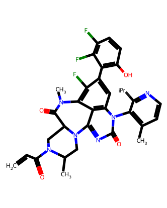 C=CC(=O)N1CC2C(=O)N(C)c3c(F)c(-c4c(O)ccc(F)c4F)cc4c3c(nc(=O)n4-c3c(C)ccnc3C(C)C)N2CC1C